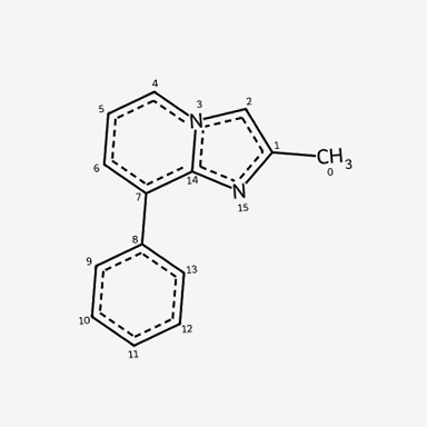 Cc1cn2cccc(-c3ccccc3)c2n1